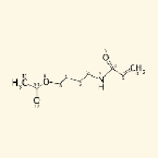 C=CC(=O)NCCCCOC(C)=O